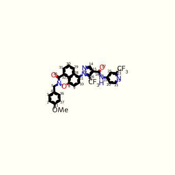 COc1ccc(CN2Oc3ccc(-n4ncc(C(=O)Nc5ccnc(C(F)(F)F)c5)c4C(F)(F)F)c4cccc(c34)C2=O)cc1